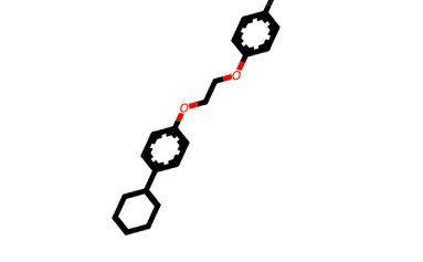 CCc1ccc(OCCOc2ccc(C3CCCCC3)cc2)cc1